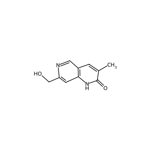 Cc1cc2cnc(CO)cc2[nH]c1=O